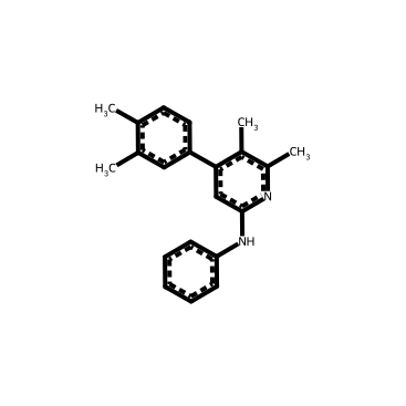 Cc1ccc(-c2cc(Nc3ccccc3)nc(C)c2C)cc1C